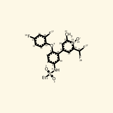 CCS(=O)(=O)Nc1ccc(Oc2ccc(F)cc2F)c(-c2cc(C)[n+]([O-])c(C(F)F)c2)c1